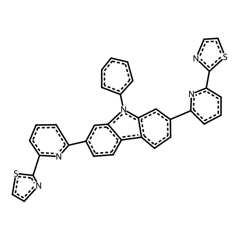 c1ccc(-n2c3cc(-c4cccc(-c5nccs5)n4)ccc3c3ccc(-c4cccc(-c5nccs5)n4)cc32)cc1